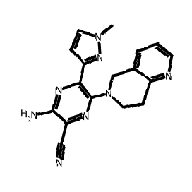 Cn1ccc(-c2nc(N)c(C#N)nc2N2CCc3ncccc3C2)n1